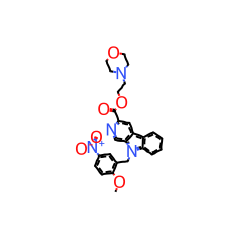 COc1ccc([N+](=O)[O-])cc1Cn1c2ccccc2c2cc(C(=O)OCCN3CCOCC3)ncc21